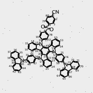 N#Cc1ccc(S(=O)(=O)c2ccc(-n3c4ccccc4c4c5c(c6ccccc6n5-c5ccc(-n6c7ccccc7c7ccccc76)cc5)c5c(c6ccccc6n5-c5ccc(N6c7ccccc7C7C=CC=CC76)cc5)c43)cc2)cc1